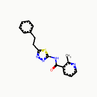 Cc1ncccc1C(=O)Nc1nnc(CCc2ccccc2)s1